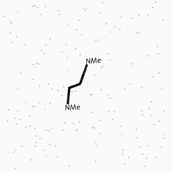 C[N]CCNC